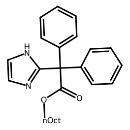 CCCCCCCCOC(=O)C(c1ccccc1)(c1ccccc1)c1ncc[nH]1